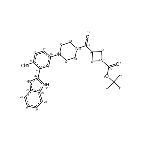 CC(C)(C)OC(=O)N1CC(C(=O)N2CCN(c3ccc(Cl)c(-c4nc5ccccc5[nH]4)c3)CC2)C1